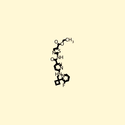 CCOC(=O)c1cnc(NC(=O)c2ccc(NCC3(c4ncccc4F)CCC3)nn2)s1